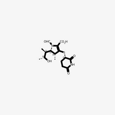 C[C@@H]([C@H]1[C@@H](C)C(S[C@H]2CCC(=O)NC2=O)=C(C(=O)O)N1C=O)[C@@H](C)O